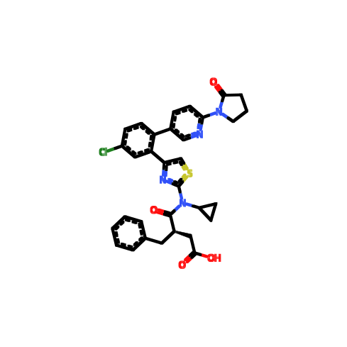 O=C(O)C[C@@H](Cc1ccccc1)C(=O)N(c1nc(-c2cc(Cl)ccc2-c2ccc(N3CCCC3=O)nc2)cs1)C1CC1